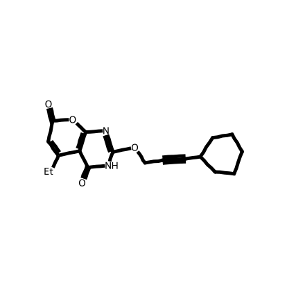 CCc1cc(=O)oc2nc(OCC#CC3CCCCC3)[nH]c(=O)c12